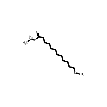 COCCCCCCCCCCCC(=O)O[SiH2]C